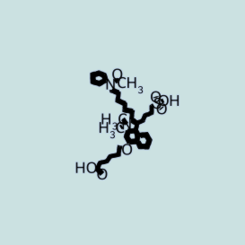 CC(=O)N(C=CC=CC=CC1=C(CCCCS(=O)(=O)O)c2c(cc(OCCCCCC(=O)O)c3ccccc23)[N+]1(C)C)c1ccccc1